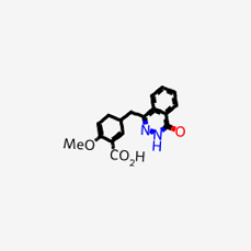 COC1=CCC(Cc2n[nH]c(=O)c3ccccc23)C=C1C(=O)O